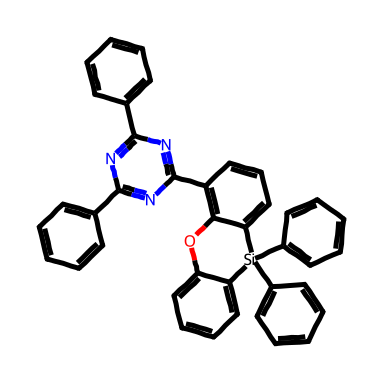 c1ccc(-c2nc(-c3ccccc3)nc(-c3cccc4c3Oc3ccccc3[Si]4(c3ccccc3)c3ccccc3)n2)cc1